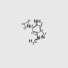 Cn1ncc2cc(N)c(N3CCC3)cc21